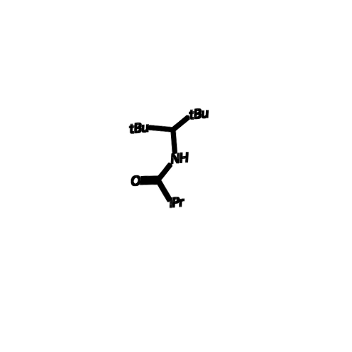 CC(C)C(=O)NC(C(C)(C)C)C(C)(C)C